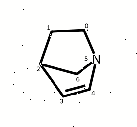 [CH]1CC2C=CN1C2